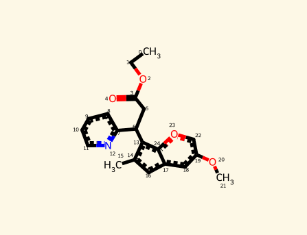 CCOC(=O)CC(c1ccccn1)c1c(C)cc2cc(OC)coc1-2